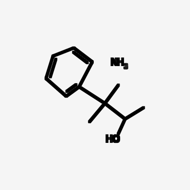 CC(O)C(C)(C)c1ccccc1.N